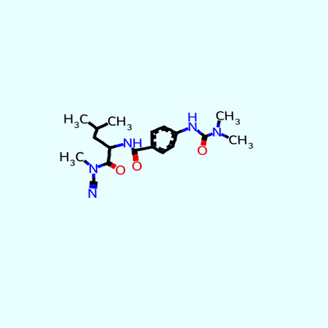 CC(C)CC(NC(=O)c1ccc(NC(=O)N(C)C)cc1)C(=O)N(C)C#N